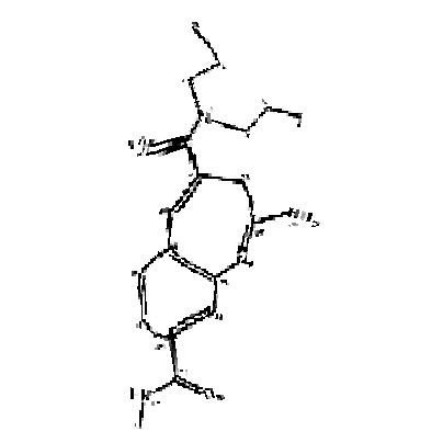 CCCN(CCC)C(=O)C1=Cc2ccc(C(=O)NC)cc2N=C(N)C1